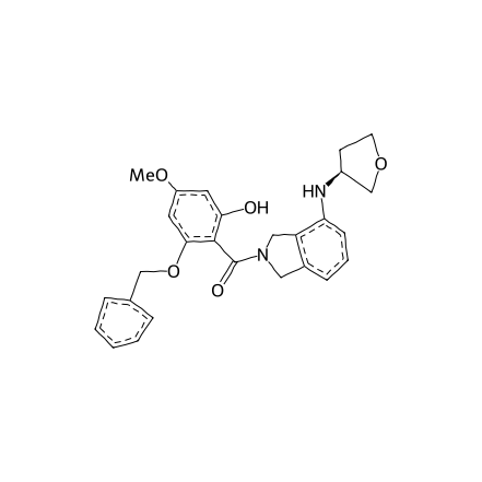 COc1cc(O)c(C(=O)N2Cc3cccc(N[C@H]4CCOC4)c3C2)c(OCc2ccccc2)c1